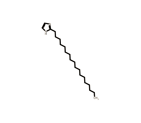 CCCCCCCCCCCCCCCCCCc1ncc[nH]1